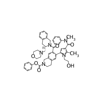 Cc1c(C(=O)N(C)c2ccccc2)cc(-c2cc3c(cc2C(=O)N2Cc4ccccc4C[C@H]2CN2CCOCC2)CN(C(=O)Oc2ccccc2)CC3)n1CCO